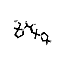 CC(C)(C=C(C#N)C(=O)N1CCCC1(C)CO)N1CCC(F)(F)C1